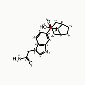 NC(=O)Cn1cnc2cc(C(=O)N3C4CCC3CC(O)C4)ccc21